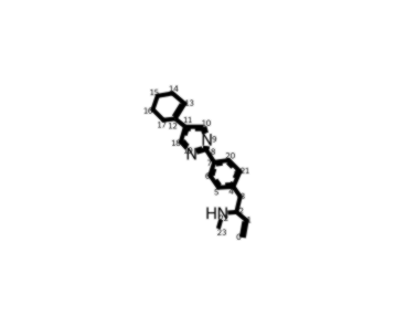 C=CC(Cc1ccc(-c2ncc(C3=CCCCC3)cn2)cc1)NC